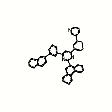 C1=C(c2cccnc2)CCC=C1c1cc(-c2cccc(-c3ccc4ccccc4c3)c2)nc(-c2cc3ccccc3c3ccccc23)n1